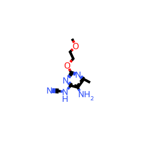 COCCOc1nc(C)c(N)c(NC#N)n1